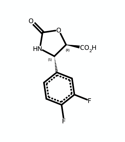 O=C1N[C@@H](c2ccc(F)c(F)c2)[C@H](C(=O)O)O1